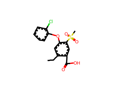 CCc1cc(Oc2ccccc2Cl)c(S(C)(=O)=O)cc1C(=O)O